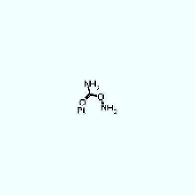 NOC(N)=O.[Pt]